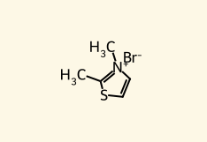 Cc1scc[n+]1C.[Br-]